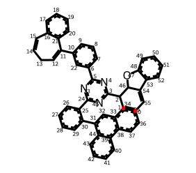 C1=CC(c2nc(-c3cccc(C4=CCC=Cc5ccccc54)c3)nc(-c3ccccc3-c3cc4ccccc4c4ccccc34)n2)C2Oc3ccccc3C2=C1